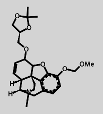 COCOc1ccc2c3c1OC1C(OC[C@H]4COC(C)(C)O4)C=C[C@H]4[C@@H](C2)N(C)CC[C@]314